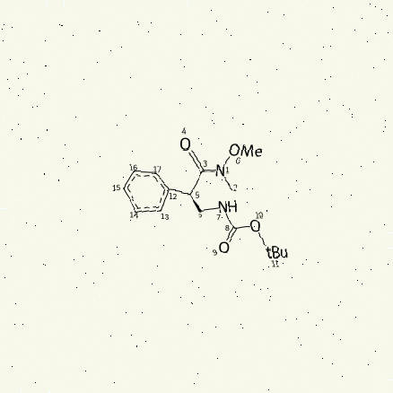 CON(C)C(=O)[C@@H](CNC(=O)OC(C)(C)C)c1ccccc1